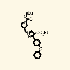 CCOC(=O)c1cn(CC2CCN(C(=O)OC(C)(C)C)C2)nc1-c1ccc(Oc2ccccc2)cc1